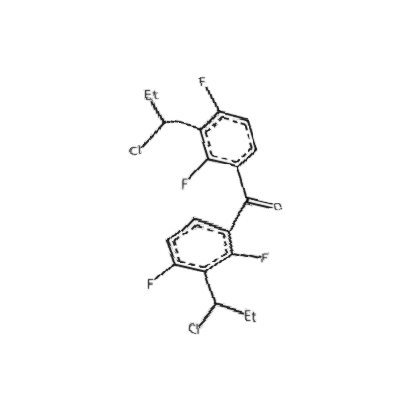 CCC(Cl)c1c(F)ccc(C(=O)c2ccc(F)c(C(Cl)CC)c2F)c1F